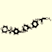 C=CC(=O)Nc1ccc(Sc2ccnc(Nc3ccc(S(=O)(=O)N4CCOCC4)cc3)n2)cc1